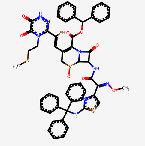 CON=C(C(=O)NC1C(=O)N2C(C(=O)OC(c3ccccc3)c3ccccc3)=C(C=C(S)c3n[nH]c(=O)c(=O)n3CCSC)C[S+]([O-])C12)c1csc(NC(c2ccccc2)(c2ccccc2)c2ccccc2)n1